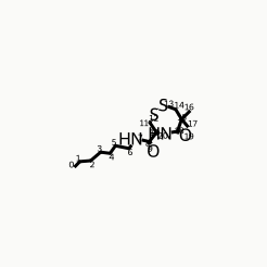 CCCCCCCNC(=O)C1CSSCC(C)(C)C(=O)N1